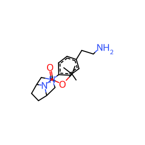 CC(C)(C)OC(=O)N1C2CCC1CN(c1ccc(CCN)cc1)C2